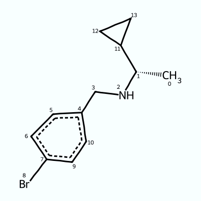 C[C@H](NCc1ccc(Br)cc1)C1CC1